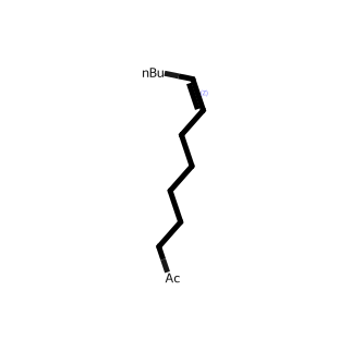 CCCC/C=C\CCCCCC(C)=O